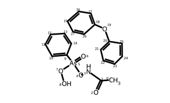 CC(=O)NO[As](=O)(OO)c1ccccc1.c1ccc(Oc2ccccc2)cc1